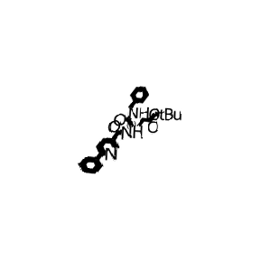 CC(C)(C)OC(=O)CC[C@H](NC(=O)c1ccc(-c2ccccc2)nc1)C(=O)NCc1ccccc1